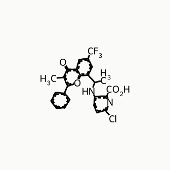 Cc1c(-c2ccccc2)oc2c(C(C)Nc3ccc(Cl)nc3C(=O)O)cc(C(F)(F)F)cc2c1=O